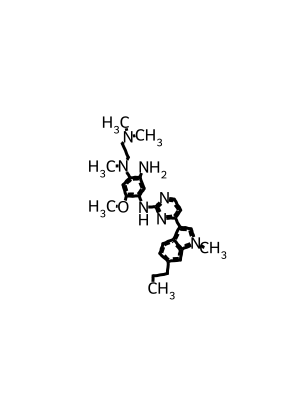 CCCc1ccc2c(-c3ccnc(Nc4cc(N)c(N(C)CCN(C)C)cc4OC)n3)cn(C)c2c1